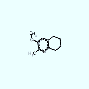 COc1cc2c(nc1C)CCCC2